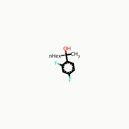 CCCCCC[C@](C)(O)c1ccc(F)cc1F